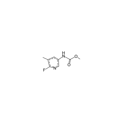 COC(=O)Nc1cnc(F)c(C)c1